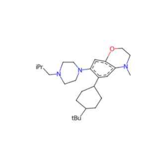 CC(C)CN1CCN(c2cc3c(cc2C2CCC(C(C)(C)C)CC2)N(C)CCO3)CC1